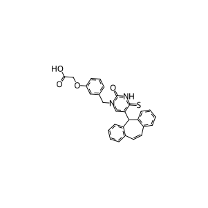 O=C(O)COc1cccc(Cn2cc(C3c4ccccc4C=Cc4ccccc43)c(=S)[nH]c2=O)c1